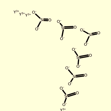 O=[Si]([O-])[O-].O=[Si]([O-])[O-].O=[Si]([O-])[O-].O=[Si]([O-])[O-].O=[Si]([O-])[O-].O=[Si]([O-])[O-].[Y+3].[Y+3].[Y+3].[Y+3]